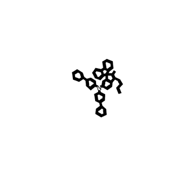 C=C/C=C\C1=C(C)C2(c3cc(N(c4ccc(-c5ccccc5)cc4)c4ccc(-c5ccccc5)cc4)ccc31)c1ccccc1-c1ccccc12